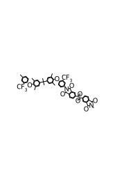 Cc1ccc(Oc2c(C)cc(C(C)(C)c3cc(C)c(Oc4ccc(N5C(=O)c6ccc(S(=O)(=O)c7ccc8c(c7)C(=O)N(C)C8=O)cc6C5=O)cc4C(F)(F)F)c(C)c3)cc2C)c(C(F)(F)F)c1